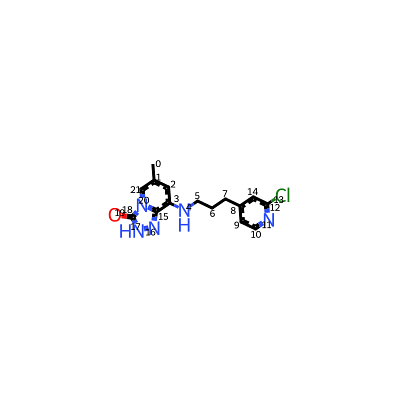 Cc1cc(NCCCc2ccnc(Cl)c2)c2n[nH]c(=O)n2c1